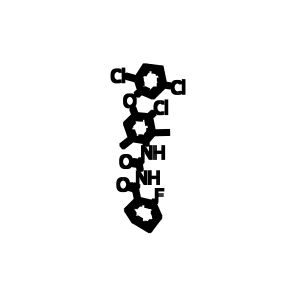 Cc1cc(Oc2cc(Cl)ccc2Cl)c(Cl)c(C)c1NC(=O)NC(=O)c1ccccc1F